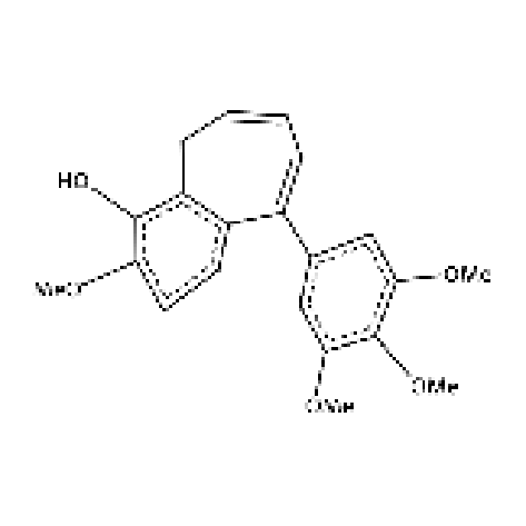 COc1ccc2c(c1O)CC=CC=C2c1cc(OC)c(OC)c(OC)c1